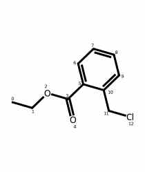 CCOC(=O)c1ccccc1CCl